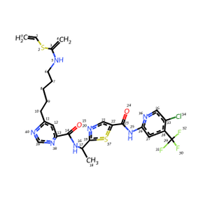 C=CSC(=C)NCCCCCc1cc(C(=O)NC(C)c2ncc(C(=O)Nc3cc(C(F)(F)F)c(Cl)cn3)s2)ncn1